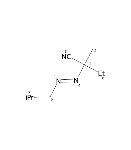 CCC(C)(C#N)N=NCC(C)C